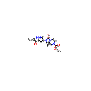 COC(=O)[C@H]1C[C@H](N2C[C@@H]3CN(C(=O)OC(C)(C)C)CCN3C2=O)CN1